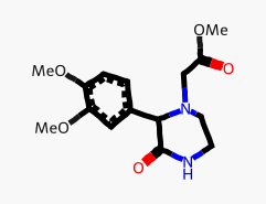 COC(=O)CN1CCNC(=O)C1c1ccc(OC)c(OC)c1